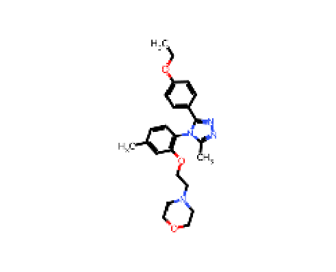 CCOc1ccc(-c2nnc(C)n2-c2ccc(C)cc2OCCN2CCOCC2)cc1